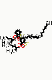 CCCCC(CC)COC(=O)c1ccccc1[S-].CCCCC(CC)COC(=O)c1ccccc1[S-].CCCCCCC[CH2][Sn+2][CH2]CCCCCCC